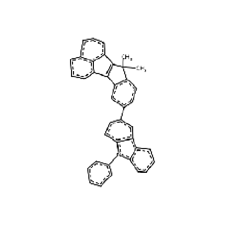 CC1(C)C2=C(c3cc(-c4ccc5c(c4)c4ccccc4n5-c4ccccc4)ccc31)c1cccc3cccc2c13